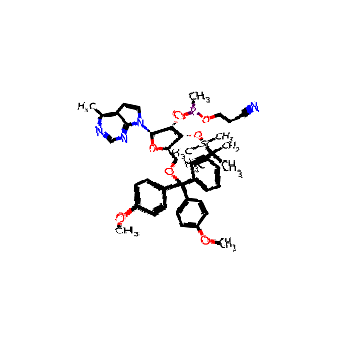 COc1ccc(C(OC[C@H]2O[C@@H](n3ccc4c(C)ncnc43)[C@H](OP(C)OCCC#N)[C@@H]2O[Si](C)(C)C(C)(C)C)(c2ccccc2)c2ccc(OC)cc2)cc1